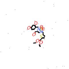 CCOC(OCC)c1ccc(CN2CC(C=O)N(Cc3ccc(OC)cc3OC)S2(=O)=O)s1